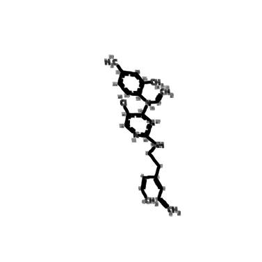 C=C/C=C(\C=C/C)CCNc1ncc(Cl)c(N(C=C)c2ccc(C)cc2C)n1